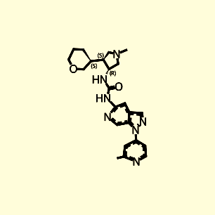 Cc1cc(-n2ncc3cc(NC(=O)N[C@H]4CN(C)C[C@@H]4[C@@H]4CCCOC4)ncc32)ccn1